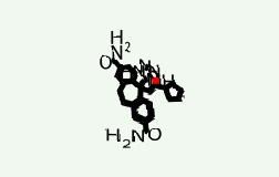 NC(=O)c1ccc2c(c1)CCc1cc(C(N)=O)ccc1C2(C[C@@H](N)C1CCCC1)c1nnn[nH]1